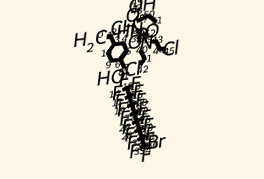 C=C(C)C1CC=C(CO)CC1.FC(F)(F)C(F)(F)C(F)(F)C(F)(F)C(F)(F)C(F)(F)C(F)(F)C(F)(F)Br.O=[P@@]1(N(CCCl)CCCl)N[C@@H](OO)CCO1